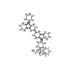 CC1(C)C2CCCCC2C2CC(N3C4CCCCC4C4CC(C5CCC6C(C5)C5CCCCC5N6C5CCCCC5)CCC43)CCC21